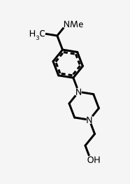 CNC(C)c1ccc(N2CCN(CCO)CC2)cc1